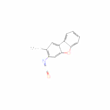 COc1cc2c(cc1N=C=O)oc1ccccc12